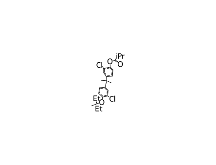 CCC(C)(CC)Oc1ccc(C(C)(C)c2ccc(OC(=O)C(C)C)c(Cl)c2)cc1Cl